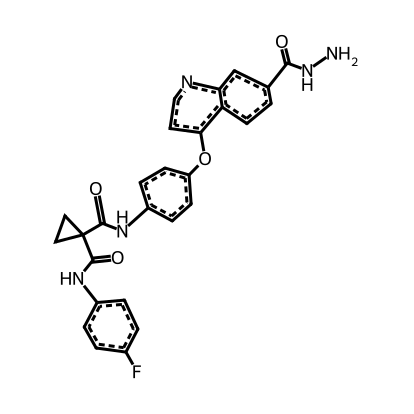 NNC(=O)c1ccc2c(Oc3ccc(NC(=O)C4(C(=O)Nc5ccc(F)cc5)CC4)cc3)ccnc2c1